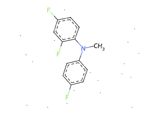 CN(c1ccc(F)cc1)c1ccc(F)cc1F